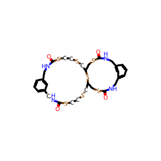 O=C1NCc2cccc(c2)CNC(=O)SCCSCC2CSC(=O)NCc3cccc(c3)CNC(=O)SCC(CSCCS1)S2